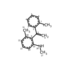 C=C(c1ccccc1C)c1c(C)cccc1NC